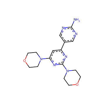 Nc1ncc(-c2cc(N3CCOCC3)nc(N3CCOCC3)n2)cn1